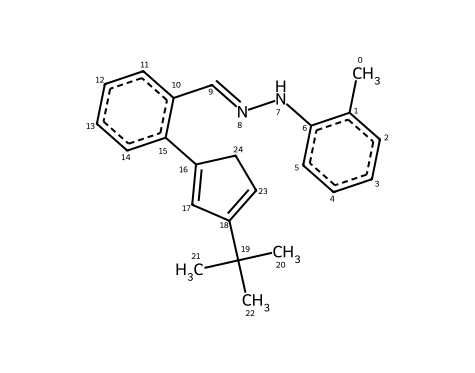 Cc1ccccc1NN=Cc1ccccc1C1=CC(C(C)(C)C)=CC1